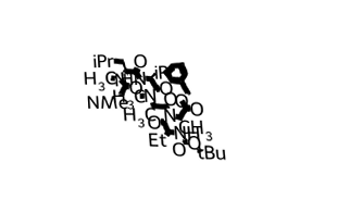 CCC(NC(=O)OC(C)(C)C)C(=O)N(C(=O)[C@H](C)N(C)C(=O)[C@@H](NC(=O)[C@H](CC(C)C)N(C)C(=O)CNC)C(C)C)[C@@H](C)C(=O)OCc1ccccc1